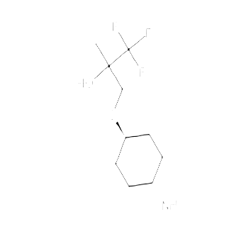 CC(O)(CO[C@H]1CC[C@H](N)CC1)C(F)(F)F